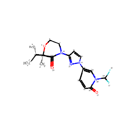 CC(=O)O[C@@H](C(=O)O)[C@@]1(C)OCCN(c2ccn(-c3ccc(=O)n(C(F)F)c3)n2)C1=O